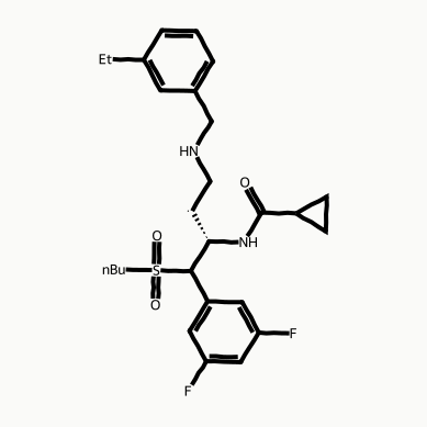 CCCCS(=O)(=O)C(c1cc(F)cc(F)c1)[C@H]([CH]CNCc1cccc(CC)c1)NC(=O)C1CC1